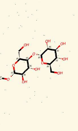 O=CO[C@@H]1O[C@H](CO)[C@@H](O[C@H]2O[C@H](CO)[C@@H](O)[C@H](O)[C@H]2O)[C@H](O)[C@H]1O